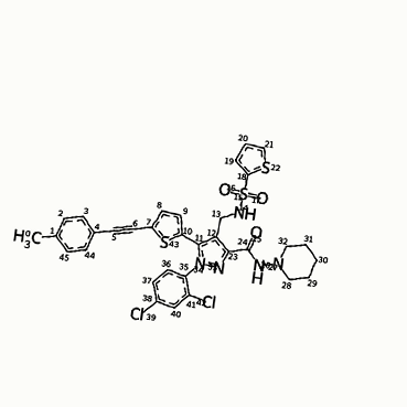 Cc1ccc(C#Cc2ccc(-c3c(CNS(=O)(=O)c4cccs4)c(C(=O)NN4CCCCC4)nn3-c3ccc(Cl)cc3Cl)s2)cc1